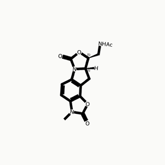 CC(=O)NC[C@@H]1OC(=O)N2c3ccc4c(oc(=O)n4C)c3C[C@@H]12